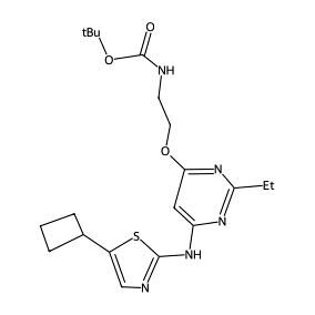 CCc1nc(Nc2ncc(C3CCC3)s2)cc(OCCNC(=O)OC(C)(C)C)n1